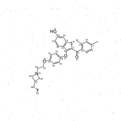 Cc1ccc(C(=O)c2sc3cc(O)ccc3c2Oc2ccc(OCCN3CC(CF)C3)cc2)c(C)c1